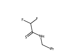 CC(C)CNC(=S)C(F)F